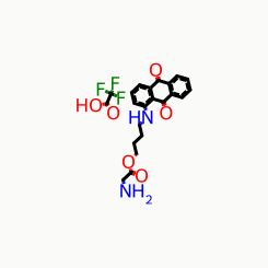 NCC(=O)OCCCCNc1cccc2c1C(=O)c1ccccc1C2=O.O=C(O)C(F)(F)F